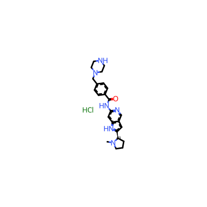 CN1CCC[C@@H]1c1cc2cnc(NC(=O)c3ccc(CN4CCNCC4)cc3)cc2[nH]1.Cl